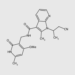 COc1cc(C)[nH]c(=O)c1CNC(=O)c1c(C)n(C(C)CC#N)c2ncccc12